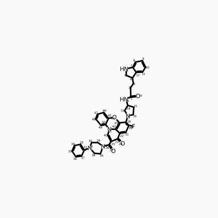 O=C(CCC1CNc2ccccc21)NC1CCN(c2c(F)cc3c(=O)c(C(=O)N4CCN(c5ccccc5)CC4)cn4c3c2Oc2ccccc2-4)C1